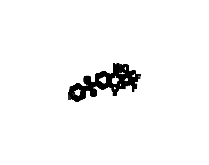 COc1cc(S(=O)(=O)c2ccncc2)ccc1NC(=O)C(C)(O)C(F)(F)F